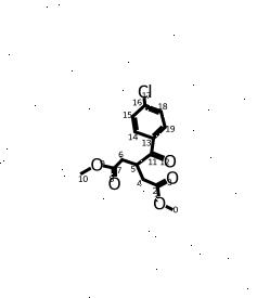 COC(=O)CC(CC(=O)OC)C(=O)c1ccc(Cl)cc1